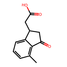 Cc1cccc2c1C(=O)CC2CC(=O)O